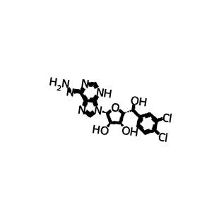 NN=c1nc[nH]c2c1ncn2[C@@H]1O[C@H](C(O)c2ccc(Cl)c(Cl)c2)[C@@H](O)[C@H]1O